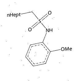 [CH2]Oc1ccccc1NS(=O)(=O)CCCCCCCC